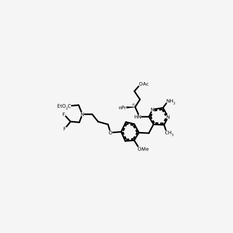 CCC[C@@H](CCOC(C)=O)Nc1nc(N)nc(C)c1Cc1ccc(OCCCN(CC(=O)OCC)CC(F)F)cc1OC